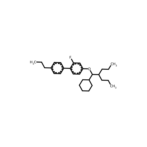 CCCc1ccc(-c2ccc(OC(C(CCC)CCC)C3CCCCC3)cc2F)cc1